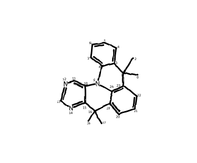 CC1(C)c2ccccc2N2c3cncnc3C(C)(C)c3cccc1c32